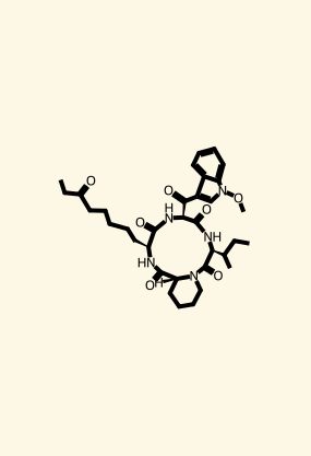 CCC(=O)CCCCC[C@@H]1NC(=O)[C@H]2CCCCN2C(=O)[C@H](C(C)CC)NC(=O)[C@H](C(=O)c2cn(OC)c3ccccc23)NC1=O